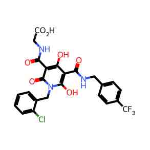 O=C(O)CNC(=O)c1c(O)c(C(=O)NCc2ccc(C(F)(F)F)cc2)c(O)n(Cc2ccccc2Cl)c1=O